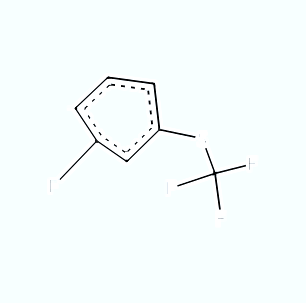 Fc1[c]ccc(SC(F)(F)F)c1